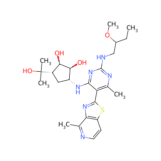 CCC(CNc1nc(C)c(-c2nc3c(C)nccc3s2)c(N[C@@H]2C[C@H](C(C)(C)O)[C@@H](O)[C@H]2O)n1)OC